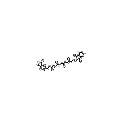 O=C(CCON1C(=O)c2ccccc2C1=O)CCC(=O)CCC(=O)CCC(=O)CCC(=O)ON1C(=O)CCC1=O